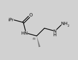 CC(C)C(=O)N[C@@H](C)CNN